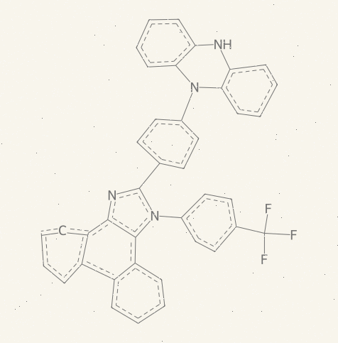 FC(F)(F)c1ccc(-n2c(-c3ccc(N4c5ccccc5Nc5ccccc54)cc3)nc3c4ccccc4c4ccccc4c32)cc1